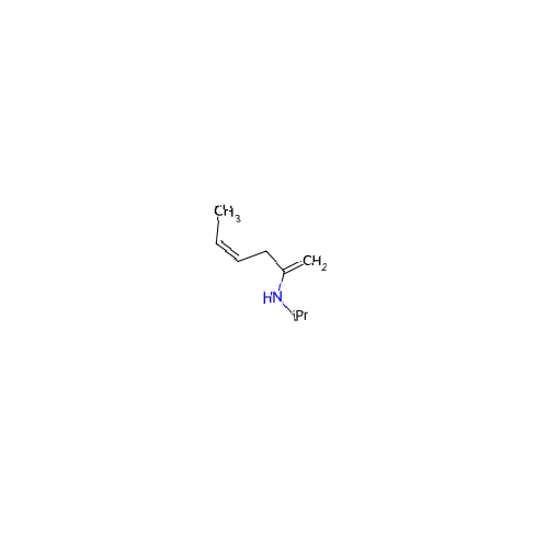 C=C(C/C=C\C)NC(C)C